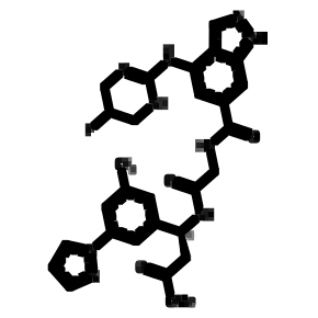 COC(=O)C[C@H](NC(=O)CNC(=O)c1cc(NC2=NCC(F)CN2)c2cn[nH]c2c1)c1cc(-n2cccn2)cc(C(F)(F)F)c1